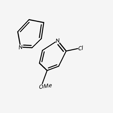 COc1ccnc(Cl)c1.c1ccncc1